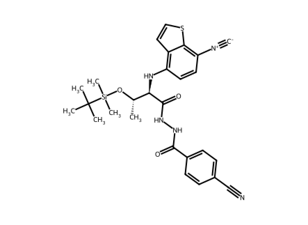 [C-]#[N+]c1ccc(N[C@@H](C(=O)NNC(=O)c2ccc(C#N)cc2)[C@H](C)O[Si](C)(C)C(C)(C)C)c2ccsc12